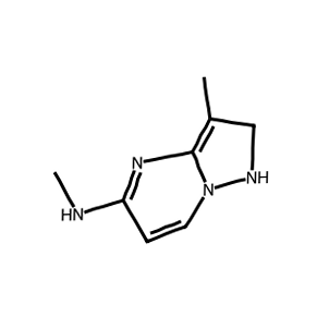 CNC1=NC2=C(C)CNN2C=C1